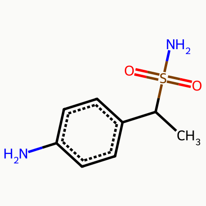 CC(c1ccc(N)cc1)S(N)(=O)=O